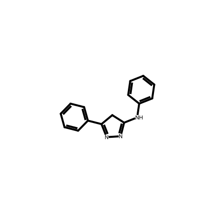 c1ccc(NC2=NN=C(c3ccccc3)C2)cc1